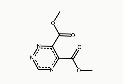 COC(=O)c1ncnnc1C(=O)OC